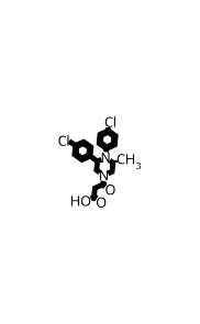 C[C@H]1CN(C(=O)CC(=O)O)CC(c2ccc(Cl)cc2)N1c1ccc(Cl)cc1